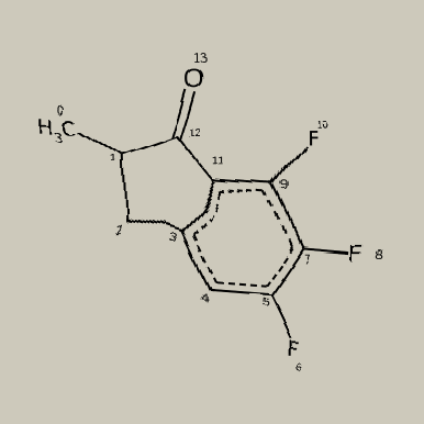 CC1Cc2cc(F)c(F)c(F)c2C1=O